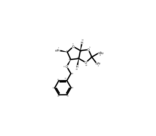 CCCCC1(CCC)O[C@H]2O[C@H](CCC)[C@H](OCc3ccccc3)[C@H]2O1